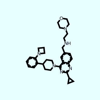 c1ccc(N2CCC2)c(C2CCN(c3nc(C4CC4)nc4ccc(CNCCN5CCOCC5)cc34)CC2)c1